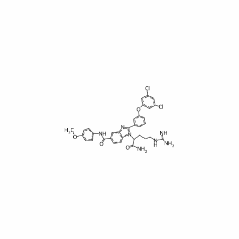 COc1ccc(NC(=O)c2ccc3c(c2)nc(-c2cccc(Oc4cc(Cl)cc(Cl)c4)c2)n3C(CCCNC(=N)N)C(N)=O)cc1